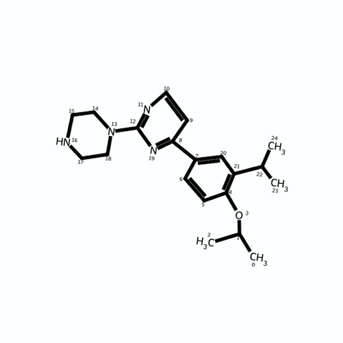 CC(C)Oc1ccc(-c2ccnc(N3CCNCC3)n2)cc1C(C)C